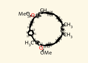 COCOC12CCC(C)(CC1)c1ccc(cc1)-c1ccc(cc1)C1(OCOC)CCC(C)(CC1)c1ccc(cc1)-c1ccc(cc1)C1(C)CCC(C)(CC1)c1ccc(cc1)-c1ccc2cc1